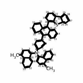 Cc1ccc(N(c2ccc(-c3c4ccccc4c(-c4cccc5c4sc4ccccc45)c4ccccc34)cc2)c2ccc(C)c3ccccc23)c2ccccc12